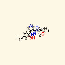 Cc1ccc(-c2nnc(N[C@H]3CCOCC3(C)C)c3cnccc23)c(O)c1